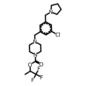 CC(OC(=O)N1CCN(Cc2cc(Cl)cc(CN3CCCC3)c2)CC1)C(F)(F)F